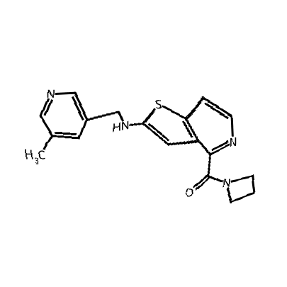 Cc1cncc(CNc2cc3c(C(=O)N4CCC4)nccc3s2)c1